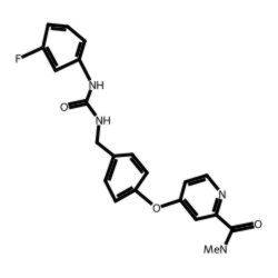 CNC(=O)c1cc(Oc2ccc(CNC(=O)Nc3cccc(F)c3)cc2)ccn1